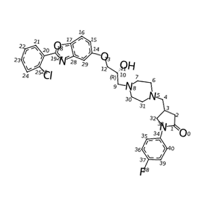 O=C1CC(CN2CCN(C[C@@H](O)COc3ccc4oc(-c5ccccc5Cl)nc4c3)CC2)CN1c1ccc(F)cc1